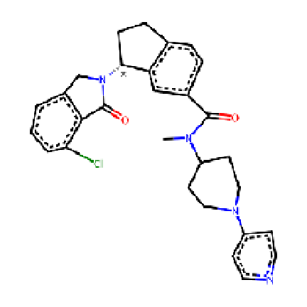 CN(C(=O)c1ccc2c(c1)[C@H](N1Cc3cccc(Cl)c3C1=O)CC2)C1CCN(c2ccncc2)CC1